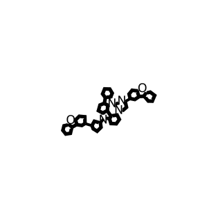 c1cc(-c2ccc3oc4ccccc4c3c2)cc(-n2c3ccccc3c3c2ccc2c4ccccc4n(-c4nccc(-c5ccc6oc7ccccc7c6c5)n4)c23)c1